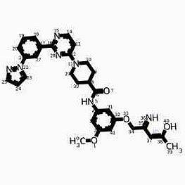 COc1cc(NC(=O)C2CCN(c3ccnc(-c4cccc(-n5cccn5)c4)n3)CC2)cc(OCC(=N)/C=C(/C)O)c1